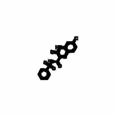 O=C(NS(=O)(=O)c1ccccc1)c1nc2ccc(Cl)cc2[nH]c1=O